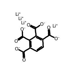 O=C([O-])c1ccc(C(=O)[O-])c(C(=O)[O-])c1C(=O)[O-].[Li+].[Li+].[Li+].[Li+]